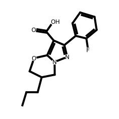 CCCC1COc2c(C(=O)O)c(-c3ccccc3F)nn2C1